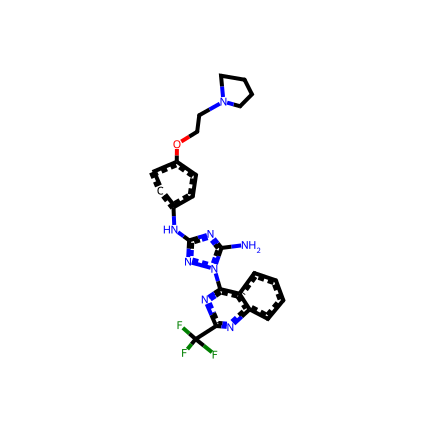 Nc1nc(Nc2ccc(OCCN3CCCC3)cc2)nn1-c1nc(C(F)(F)F)nc2ccccc12